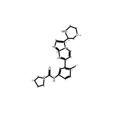 O=C(Nc1ccc(F)c(-c2ccn3c(C4COCCN4)cnc3n2)c1)N1CCCC1